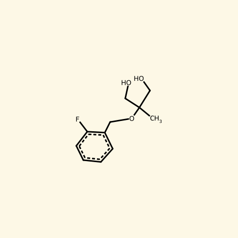 CC(CO)(CO)OCc1ccccc1F